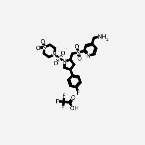 NCc1ccnc(S(=O)(=O)CC2CC(c3ccc(F)cc3)CN2S(=O)(=O)N2CCS(=O)(=O)CC2)c1.O=C(O)C(F)(F)F